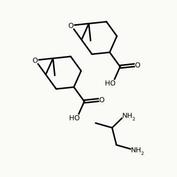 CC(N)CN.CC12CCC(C(=O)O)CC1O2.CC12CCC(C(=O)O)CC1O2